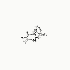 Cc1c(C#N)c(N)nc2sc3c(N)ncnc3c12